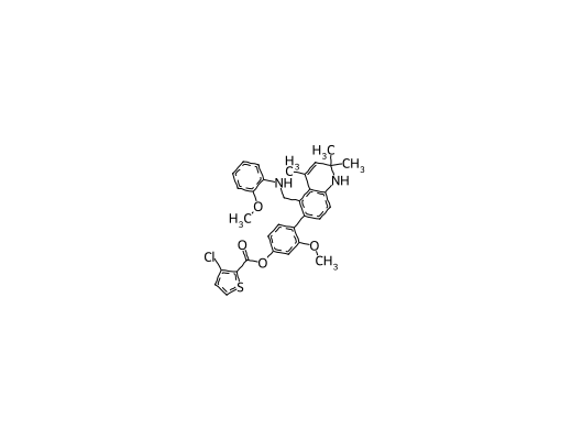 COc1ccccc1NCc1c(-c2ccc(OC(=O)c3sccc3Cl)cc2OC)ccc2c1C(C)=CC(C)(C)N2